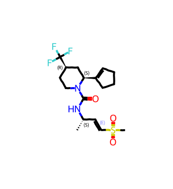 C[C@@H](/C=C/S(C)(=O)=O)NC(=O)N1CC[C@@H](C(F)(F)F)C[C@H]1C1=CCCC1